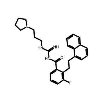 N=C(NCCCN1CCCC1)NC(=O)c1cccc(F)c1CCc1cccc2ccccc12